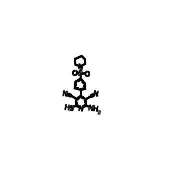 N#Cc1c(N)nc(S)c(C#N)c1-c1ccc(S(=O)(=O)N2CCCCC2)cc1